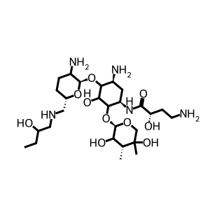 CCC(O)CNC[C@@H]1CCC(N)[C@@H](OC2C(O)C(O[C@H]3OCC(C)(O)[C@H](C)C3O)[C@H](NC(=O)[C@@H](O)CCN)C[C@@H]2N)O1